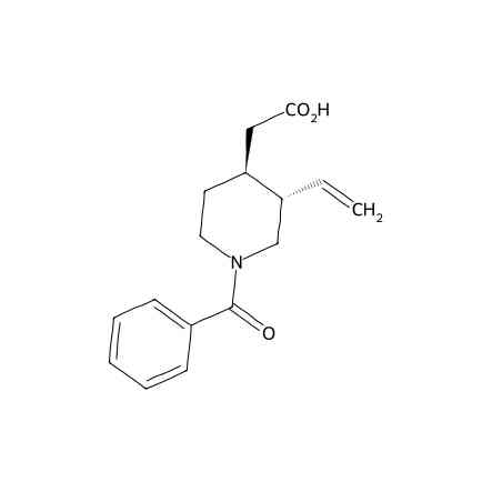 C=C[C@@H]1CN(C(=O)c2ccccc2)CC[C@H]1CC(=O)O